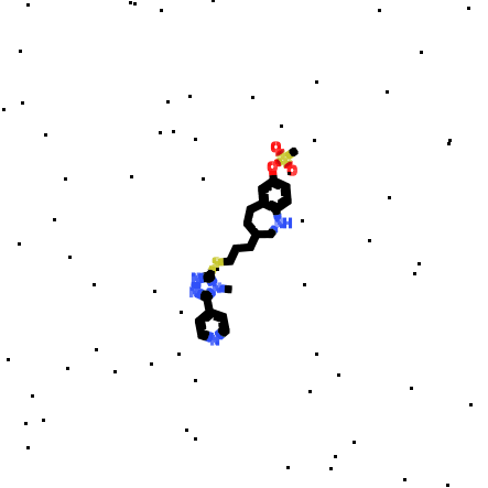 Cn1c(SCCCC2CCc3cc(OS(C)(=O)=O)ccc3NC2)nnc1-c1ccncc1